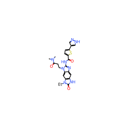 CCn1c(=O)[nH]c2cc3nc(NC(=O)c4ccc(-c5cn[nH]c5)s4)n(CCC(=O)N(C)C)c3cc21